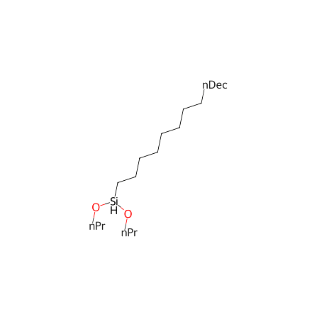 CCCCCCCCCCCCCCCCCC[SiH](OCCC)OCCC